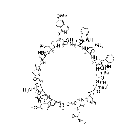 CCCC[C@H]1C(=O)N(C)[C@@H](CCCC)C(=O)N[C@@H](CC(C)C)C(=O)N[C@H](C(=O)NCC(N)=O)CSCC(=O)N[C@@H](Cc2ccc(O)cc2)C(=O)N(C)[C@@H](C)C(=O)N[C@@H](CC(N)=O)C(=O)N2CCC[C@H]2C(=O)N[C@@H](CN)C(=O)N[C@@H](CC(C)C)C(=O)N2C[C@H](Oc3nccc4cc(OC)ccc34)C[C@H]2C(=O)N[C@@H](Cc2c[nH]c3ccccc23)C(=O)N[C@@H](CCN)C(=O)N[C@@H](Cc2c[nH]c3ccccc23)C(=O)N1C